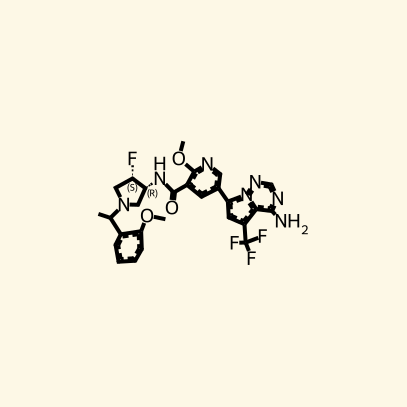 COc1ccccc1C(C)N1C[C@H](F)[C@H](NC(=O)c2cc(-c3cc(C(F)(F)F)c4c(N)ncnn34)cnc2OC)C1